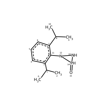 CC(C)c1cccc(C(C)C)c1N1N[PH]1=O